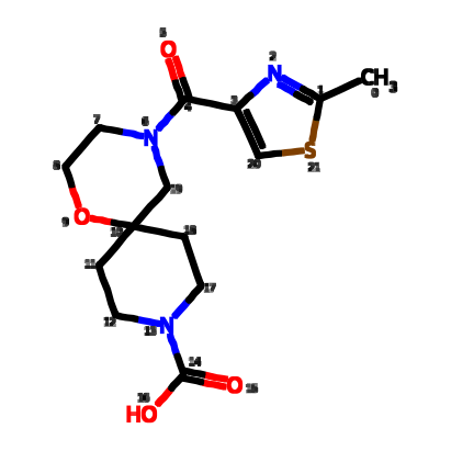 Cc1nc(C(=O)N2CCOC3(CCN(C(=O)O)CC3)C2)cs1